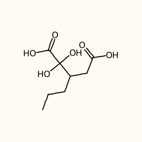 CCCC(CC(=O)O)C(O)(O)C(=O)O